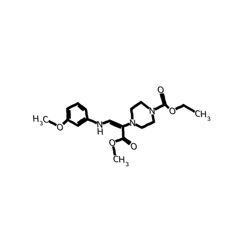 CCOC(=O)N1CCN(/C(=C/Nc2cccc(OC)c2)C(=O)OC)CC1